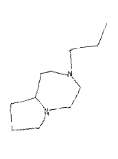 CCCN1CCN2CCCC2C1